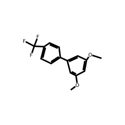 COc1cc(OC)cc(-c2ccc(C(F)(F)F)cc2)c1